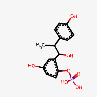 CC(c1ccc(O)cc1)C(O)c1cc(O)ccc1OP(=O)(O)O